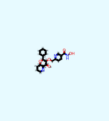 O=C(NO)c1ccc(COc2c(-c3ccccc3)oc3cccnc3c2=O)nc1